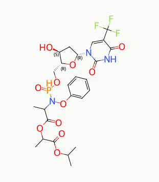 CC(C)OC(=O)C(C)OC(=O)C(C)N(Oc1ccccc1)[PH](=O)OC[C@H]1O[C@@H](n2cc(C(F)(F)F)c(=O)[nH]c2=O)C[C@@H]1O